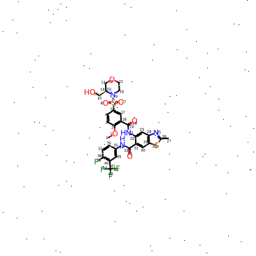 COc1ccc(S(=O)(=O)N2CCOC[C@@H]2CO)cc1C(=O)Nc1cc2nc(C)sc2cc1C(=O)Nc1ccc(F)c(C(F)(F)F)c1